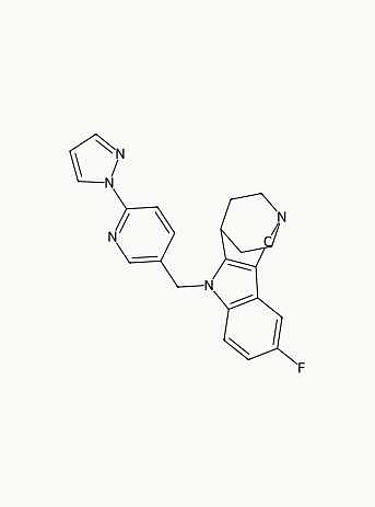 Fc1ccc2c(c1)c1c(n2Cc2ccc(-n3cccn3)nc2)C2CCN(CC2)C1